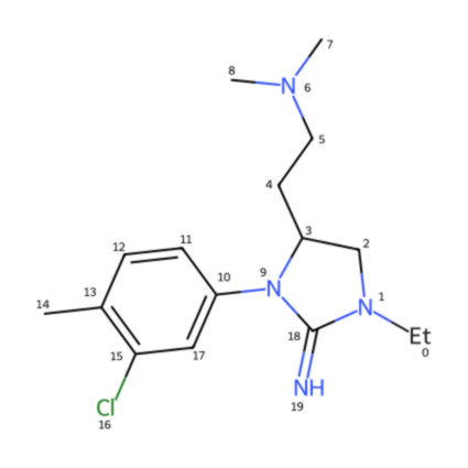 CCN1CC(CCN(C)C)N(c2ccc(C)c(Cl)c2)C1=N